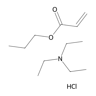 C=CC(=O)OCCC.CCN(CC)CC.Cl